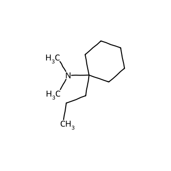 CCCC1(N(C)C)CCCCC1